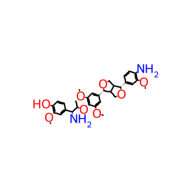 COc1cc([C@@H]2OCC3C2CO[C@H]3c2cc(OC)c(OC(C)[C@H](N)c3ccc(O)c(OC)c3)c(OC)c2)ccc1N